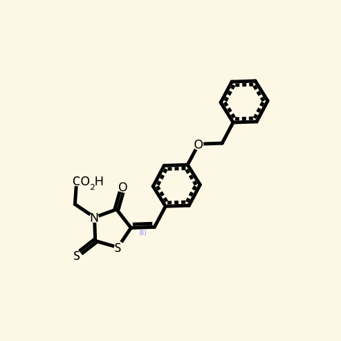 O=C(O)CN1C(=O)/C(=C\c2ccc(OCc3ccccc3)cc2)SC1=S